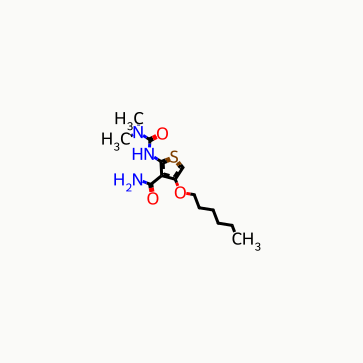 CCCCCCOc1csc(NC(=O)N(C)C)c1C(N)=O